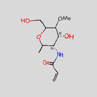 C=CC(=O)N[C@@H]1C(C)OC(CO)C(OC)[C@@H]1O